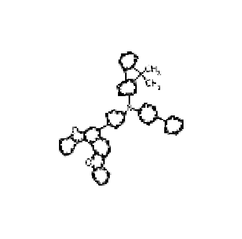 CC1(C)c2ccccc2-c2ccc(N(c3ccc(-c4ccccc4)cc3)c3ccc(-c4cc5oc6ccccc6c5c5c4ccc4c6ccccc6oc45)cc3)cc21